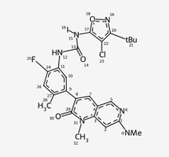 CNc1cc2c(cn1)cc(-c1cc(NC(=O)N(I)c3onc(C(C)(C)C)c3Cl)c(F)cc1C)c(=O)n2C